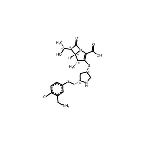 C[C@@H](O)[C@H]1C(=O)N2C(C(=O)O)=C(S[C@@H]3CN[C@H](CSc4ccc(Cl)c(CN)c4)C3)[C@H](C)[C@H]12